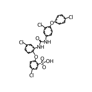 O=C(Nc1ccc(Oc2ccc(Cl)cc2)c(Cl)c1)Nc1cc(Cl)ccc1Oc1ccc(Cl)cc1S(=O)(=O)O